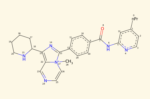 CCCc1ccnc(NC(=O)c2ccc(C3=NC(C4CCCCN4)=C4C=NC=C[N+]34C)cc2)c1